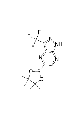 CC1(C)OB(c2cnc3[nH]nc(C(F)(F)F)c3n2)OC1(C)C